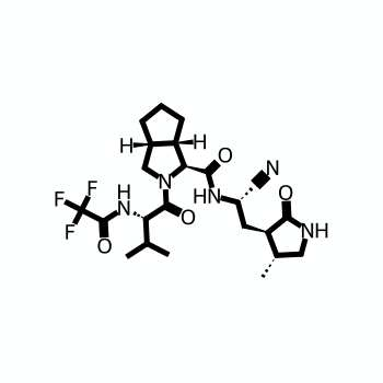 CC(C)[C@H](NC(=O)C(F)(F)F)C(=O)N1C[C@@H]2CCC[C@@H]2[C@H]1C(=O)N[C@H](C#N)C[C@H]1C(=O)NC[C@@H]1C